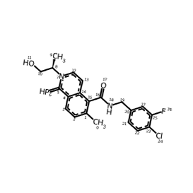 Cc1ccc2c(=P)n([C@H](C)CO)ccc2c1C(=O)NCc1ccc(Cl)c(F)c1